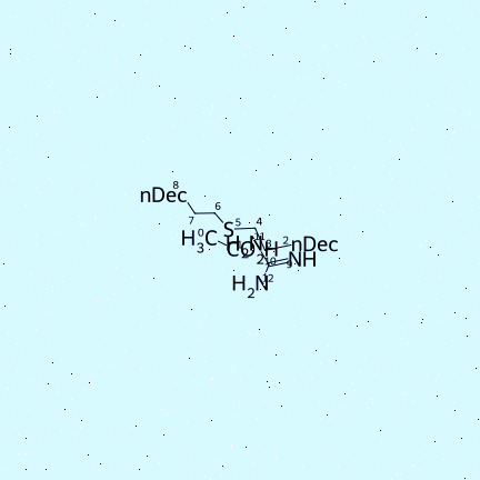 CC(=O)O.CCCCCCCCCCCCSCCCCCCCCCCCC.N=C(N)N